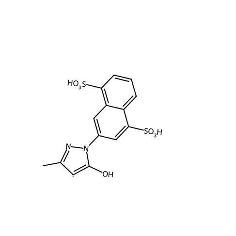 Cc1[c]c(O)n(-c2cc(S(=O)(=O)O)c3cccc(S(=O)(=O)O)c3c2)n1